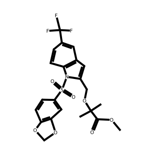 COC(=O)C(C)(C)OCc1cc2cc(C(F)(F)F)ccc2n1S(=O)(=O)c1ccc2c(c1)OCO2